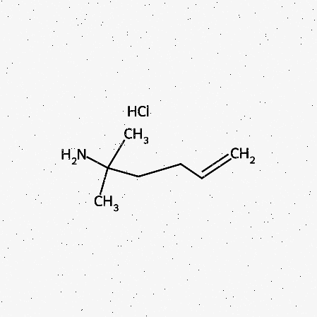 C=CCCC(C)(C)N.Cl